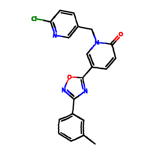 Cc1cccc(-c2noc(-c3ccc(=O)n(Cc4ccc(Cl)nc4)c3)n2)c1